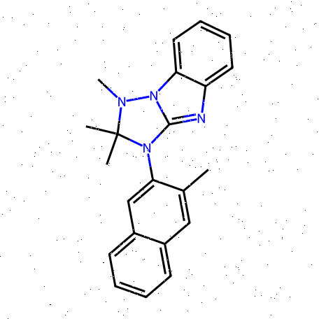 Cc1cc2ccccc2cc1N1c2nc3ccccc3n2N(C)C1(C)C